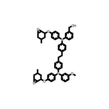 COc1cccc(N(c2ccc(CCc3ccc(N(c4ccc(OC5CC(C)CC6OC56)cc4)c4cccc(CO)c4)cc3)cc2)c2ccc(OC3CC(C)CC4OC34)cc2)c1